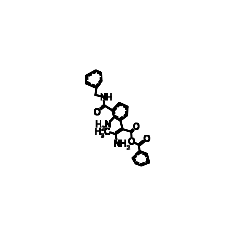 CC(N)=C(C(=O)OC(=O)c1ccccc1)c1cccc(C(=O)NCc2ccccc2)c1N